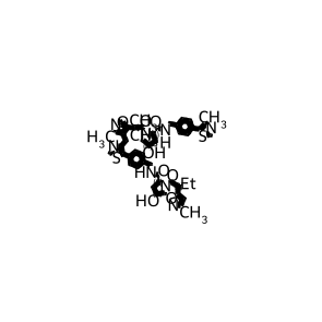 CC[C@@H](C(=O)N1C[C@H](O)C[C@H]1C(=O)NCc1ccc(-c2scnc2Cc2c(C)noc2C(C)(C)C(=O)N2C[C@H](O)C[C@H]2C(=O)NCc2ccc(-c3scnc3C)cc2)cc1)c1cc(C)no1